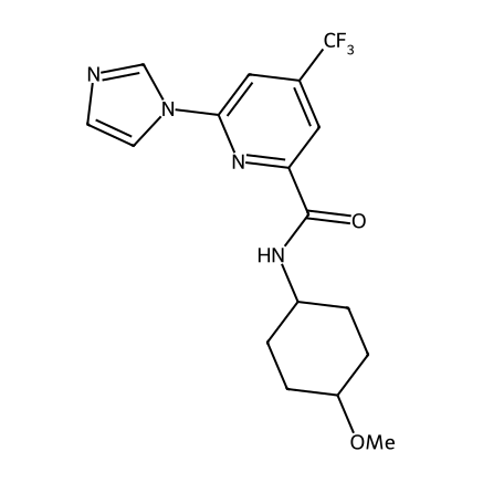 COC1CCC(NC(=O)c2cc(C(F)(F)F)cc(-n3ccnc3)n2)CC1